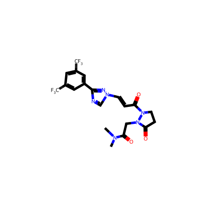 CN(C)C(=O)CN1C(=O)CCN1C(=O)C=Cn1cnc(-c2cc(C(F)(F)F)cc(C(F)(F)F)c2)n1